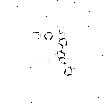 COc1ncc(-c2ccc3nc(N)n(-c4ccc(N5CCOCC5)cc4)c3c2)cc1S(=O)(=O)Nc1ccc(F)cc1F.O=CO